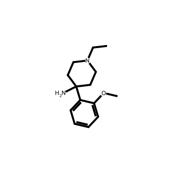 CCN1CCC(N)(c2ccccc2OC)CC1